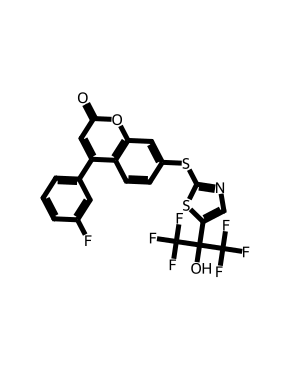 O=c1cc(-c2cccc(F)c2)c2ccc(Sc3ncc(C(O)(C(F)(F)F)C(F)(F)F)s3)cc2o1